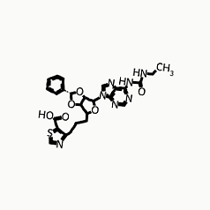 CCNC(=O)Nc1ncnc2c1ncn2C1OC(CCCc2ncsc2C(=O)O)C2O[C@H](c3ccccc3)OC21